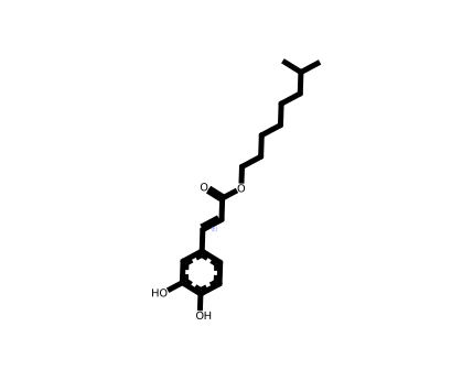 CC(C)CCCCCCOC(=O)/C=C/c1ccc(O)c(O)c1